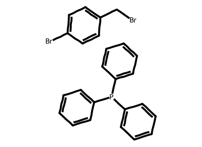 BrCc1ccc(Br)cc1.c1ccc(P(c2ccccc2)c2ccccc2)cc1